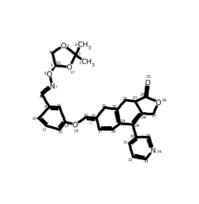 CC1(C)OC[C@H](ON=Cc2cccc(O/C=C3\C=CC4=C(C3)CC3C(=O)OCC3=C4c3cccnc3)c2)O1